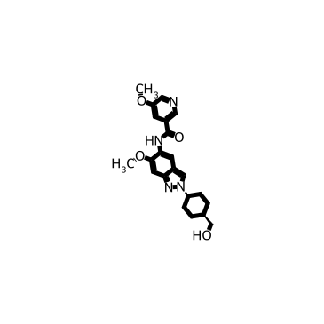 COc1cncc(C(=O)Nc2cc3cn([C@H]4CC[C@H](CO)CC4)nc3cc2OC)c1